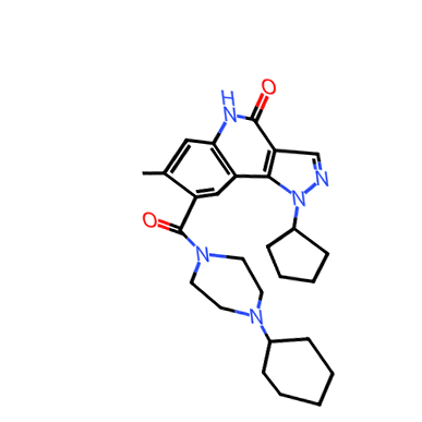 Cc1cc2[nH]c(=O)c3cnn(C4CCCC4)c3c2cc1C(=O)N1CCN(C2CCCCC2)CC1